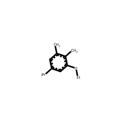 CCOc1cc(C(C)C)cc(C)c1C